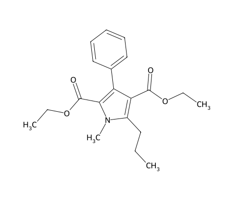 CCCc1c(C(=O)OCC)c(-c2ccccc2)c(C(=O)OCC)n1C